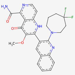 COc1c(-c2cc3ccccc3nc2N2CCCC(F)(F)CC2)[nH]c2ccnc(C(N)=O)c2c1=O